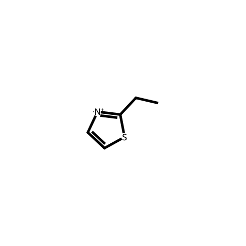 CCC1=[N+]C=CS1